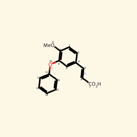 COc1ccc(/C=C/C(=O)O)cc1Oc1ccccc1